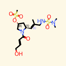 C/C(=C\[C@@H]1C[C@@H](OS(C)(=O)=O)CN1C(=O)C=CCO)CNS(=O)(=O)N(C)C